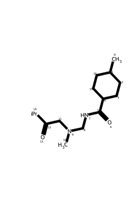 CC1CCC(C(=O)NCN(C)CC(=O)C(C)C)CC1